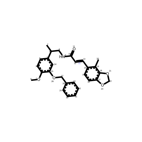 COc1ccc(C(C)CNC(=O)/C=C/c2ccc3c(c2C)OCO3)cc1OCc1ccccc1